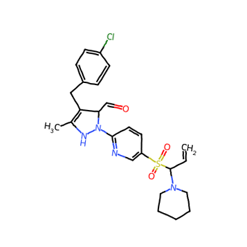 C=CC(N1CCCCC1)S(=O)(=O)c1ccc(N2NC(C)=C(Cc3ccc(Cl)cc3)C2C=O)nc1